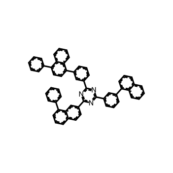 c1ccc(-c2cccc3ccc(-c4nc(-c5cccc(-c6cccc7ccccc67)c5)nc(-c5cccc(-c6ccc(-c7ccccc7)c7ccccc67)c5)n4)cc23)cc1